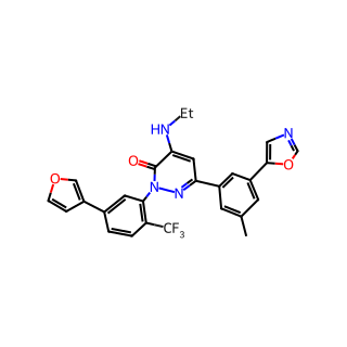 CCNc1cc(-c2cc(C)cc(-c3cnco3)c2)nn(-c2cc(-c3ccoc3)ccc2C(F)(F)F)c1=O